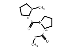 COC(=O)[C@H]1CCCN1C(=O)[C@@H]1CCCN1C